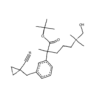 CC(C)(CO)CCCC(C)(C(=O)OC(C)(C)C)c1cccc(CC2(C#N)CC2)c1